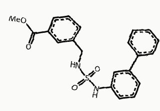 COC(=O)c1cccc(CNS(=O)(=O)Nc2cccc(-c3ccccc3)c2)c1